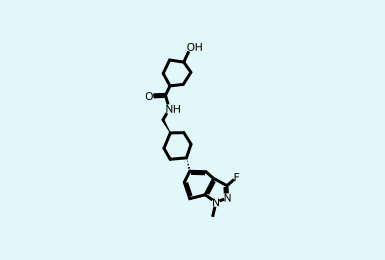 Cn1nc(F)c2cc([C@H]3CC[C@H](CNC(=O)C4CCC(O)CC4)CC3)ccc21